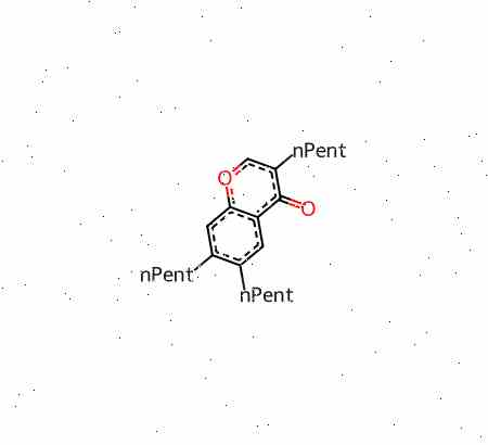 CCCCCc1cc2occ(CCCCC)c(=O)c2cc1CCCCC